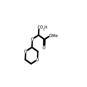 COC(=O)C(OC1COCCO1)C(=O)O